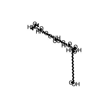 CC(C)N[C@@H](CSCC(=O)NCCOCCOCCNC(=O)COCCOCCNC(=O)CC[C@H](NC(=O)CCCCCCCCCCCCCCCCCCC(=O)O)C(=O)O)C(=O)C(C)C